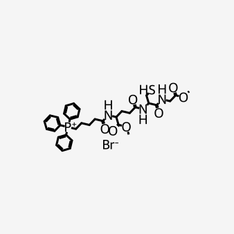 COC(=O)CNC(=O)C(CS)NC(=O)CCC(NC(=O)CCCC[P+](c1ccccc1)(c1ccccc1)c1ccccc1)C(=O)OC.[Br-]